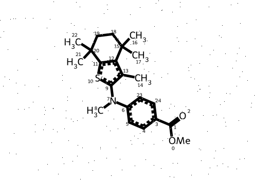 COC(=O)c1ccc(N(C)c2sc3c(c2C)C(C)(C)CCC3(C)C)cc1